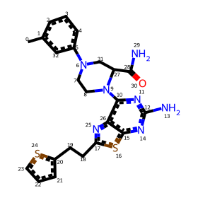 Cc1cccc(N2CCN(c3nc(N)nc4sc(CCc5cccs5)nc34)C(C(N)=O)C2)c1